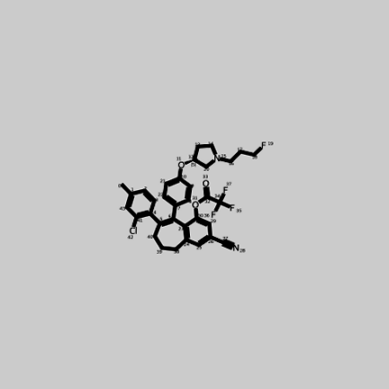 Cc1ccc(C2=C(c3ccc(O[C@H]4CCN(CCCF)C4)cc3)c3c(cc(C#N)cc3OC(=O)C(F)(F)F)CCC2)c(Cl)c1